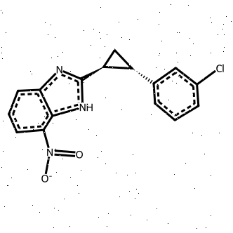 O=[N+]([O-])c1cccc2nc([C@H]3C[C@@H]3c3cccc(Cl)c3)[nH]c12